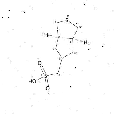 O=S(=O)(O)CC1C[C@H]2CSC[C@H]2C1